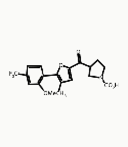 COc1cc(C(F)(F)F)ccc1-c1oc(C(=O)C2CCN(C(=O)O)C2)cc1C